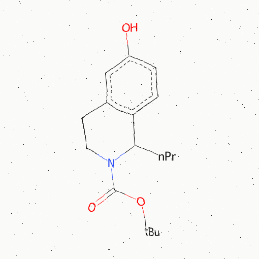 CCCC1c2ccc(O)cc2CCN1C(=O)OC(C)(C)C